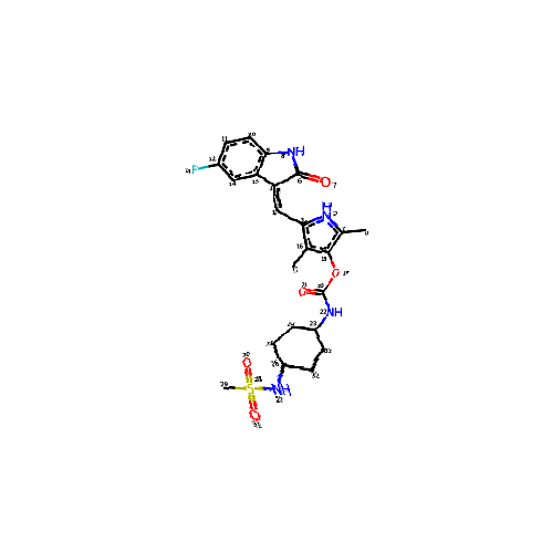 Cc1[nH]c(/C=C2\C(=O)Nc3ccc(F)cc32)c(C)c1OC(=O)NC1CCC(NS(C)(=O)=O)CC1